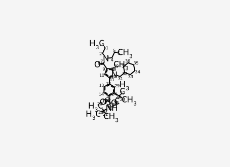 CCCN(CCC)C(=O)c1cc(-c2ccc(S(=O)(=O)NC(C)(C)C)c(C(C)(C)C)c2)n(CC2CCCCC2)c1C